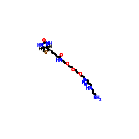 NCCCNCc1cn(CCOCCOCCOCCNC(=O)CCCC[C@@H]2SC[C@@H]3NC(=O)N[C@@H]32)nn1